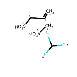 C=CCS(=O)(=O)O.CS(=O)(=O)O.FC(F)F